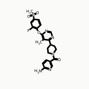 Cc1c(Oc2ccc(S(C)(=O)=O)cc2F)ncnc1C1CCN(C(=O)c2ccc(N)nc2)CC1